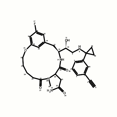 C#Cc1cccc(C2(NC[C@@H](O)[C@@H]3Cc4cc(F)cc(c4)OCCCCC(=O)N(C)C(CC(N)=O)C(=O)N3)CC2)c1